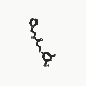 O=C(CCOc1cc(O)cc(F)c1)NCCn1cccc1